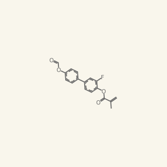 C=C(C)C(=O)Oc1ccc(-c2ccc(OC=O)cc2)cc1F